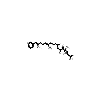 C/C(=C\c1cccnc1)CC/C=C(\C)CCCC(C)CC(C)C(=O)C(C)(C)CCC(=O)O